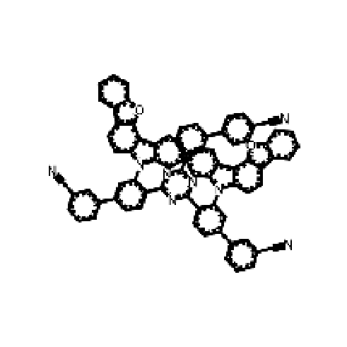 N#Cc1ccc(-c2cccc(-c3nc(-c4ccc(-c5cccc(C#N)c5)cc4-n4c5ccccc5c5c6oc7ccccc7c6ccc54)nc(-c4ccc(-c5cccc(C#N)c5)cc4-n4c5ccccc5c5c6oc7ccccc7c6ccc54)n3)c2)cc1